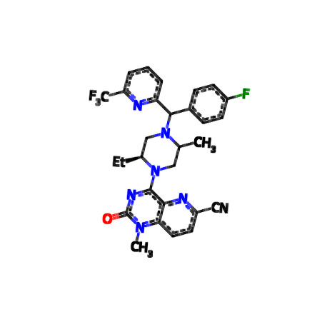 CC[C@H]1CN(C(c2ccc(F)cc2)c2cccc(C(F)(F)F)n2)C(C)CN1c1nc(=O)n(C)c2ccc(C#N)nc12